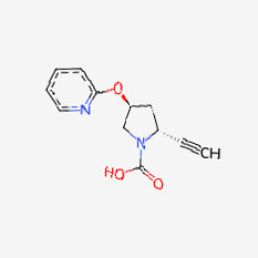 C#C[C@H]1C[C@H](Oc2ccccn2)CN1C(=O)O